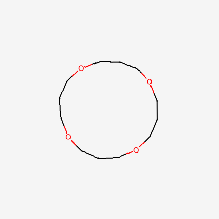 C1COCCCOCCCOCCCOC1